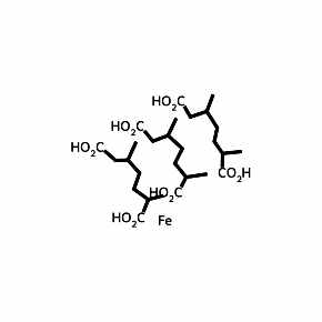 CC(CCC(C)C(=O)O)CC(=O)O.CC(CCC(C)C(=O)O)CC(=O)O.CC(CCC(C)C(=O)O)CC(=O)O.[Fe]